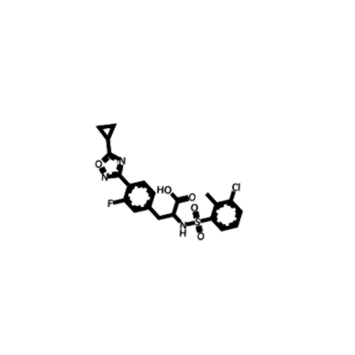 Cc1c(Cl)cccc1S(=O)(=O)NC(Cc1ccc(-c2noc(C3CC3)n2)c(F)c1)C(=O)O